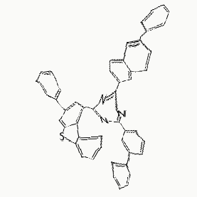 c1ccc(-c2cccc(-c3nc(-c4ccc5cc(-c6ccccc6)ccc5c4)nc(-c4cc(-c5ccccc5)cc5sc6ccccc6c45)n3)c2)cc1